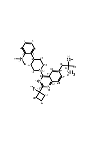 CN(C)c1ccccc1C1CCN(c2nc(C3(F)CCC3)nc3ccc(CC(C)(N)O)cc23)CC1